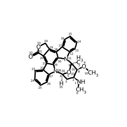 CN[C@H]1C[C@@H]2O[C@](C)([C@H]1OC)n1c3ccccc3c3c4c(c5c6ccccc6n2c5c31)C(=O)OC4